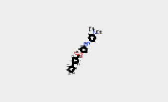 CCN(CC)c1ccc(N=Nc2ccc(OC(=O)c3ccc(-c4ccccc4)cc3)cc2)cc1